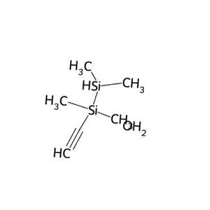 C#C[Si](C)(C)[SiH](C)C.O